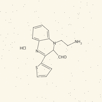 Cl.NCCN1c2ccccc2N=C(c2cccs2)C1C=O